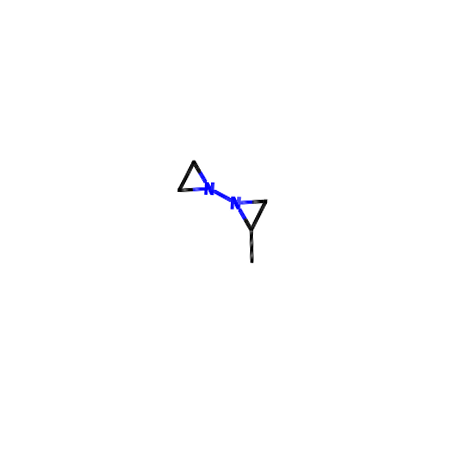 CC1CN1N1CC1